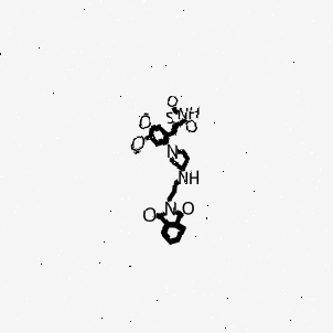 COc1cc(/C=C2\SC(=O)NC2=O)c(N2CCC(NCCCN3C(=O)c4ccccc4C3=O)C2)cc1OC